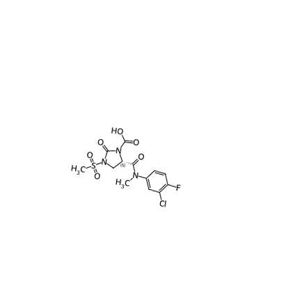 CN(C(=O)[C@@H]1CN(S(C)(=O)=O)C(=O)N1C(=O)O)c1ccc(F)c(Cl)c1